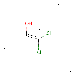 OC=C(Cl)Cl